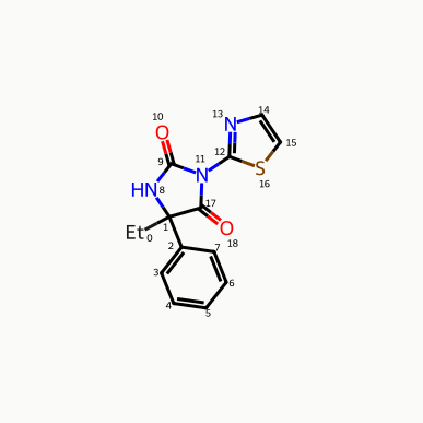 CCC1(c2ccccc2)NC(=O)N(c2nccs2)C1=O